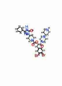 CN1CCC(N2CCN(C(=O)C(Cc3ccc(Br)c(Br)c3)OC(=O)N3CCC(n4nc(-c5ccccc5)[nH]c4=O)CC3)CC2)CC1